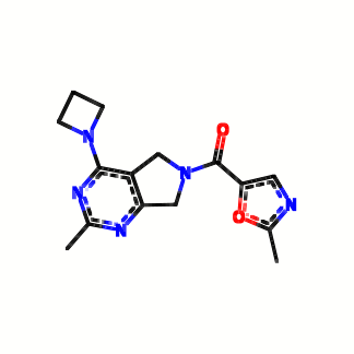 Cc1nc2c(c(N3CCC3)n1)CN(C(=O)c1cnc(C)o1)C2